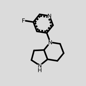 Fc1cncc(N2CCCC3NCCC32)c1